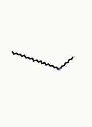 [CH2]CCCCCC/C=C\CCCCCCCCCCCCCCCCCCCCCCC